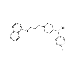 OC(c1ccc(F)cc1)C1CCN(CCCOc2cccc3ccccc23)CC1